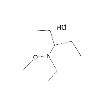 CCC(CC)N(CC)OC.Cl